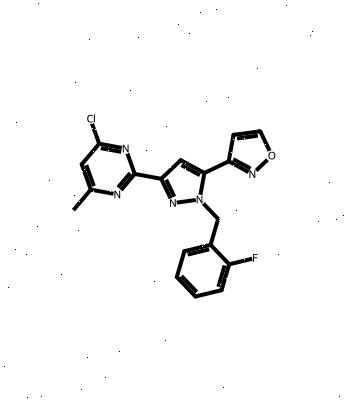 Cc1cc(Cl)nc(-c2cc(-c3ccon3)n(Cc3ccccc3F)n2)n1